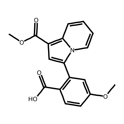 COC(=O)c1cc(-c2cc(OC)ccc2C(=O)O)n2ccccc12